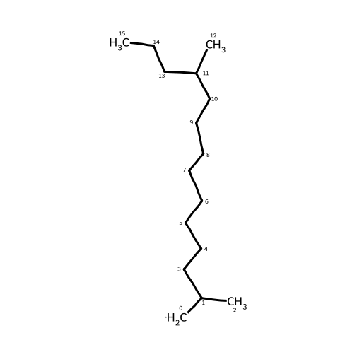 [CH2]C(C)CCCCCCCCC(C)CCC